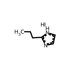 CCCc1ncc[nH]1.I